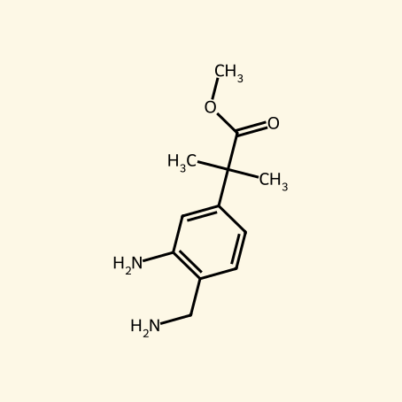 COC(=O)C(C)(C)c1ccc(CN)c(N)c1